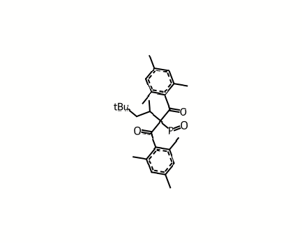 Cc1cc(C)c(C(=O)C(P=O)(C(=O)c2c(C)cc(C)cc2C)C(C)CC(C)(C)C)c(C)c1